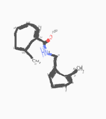 Cc1ccccc1CNC(=O)c1ccccc1C